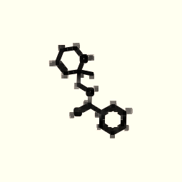 CC1(COC(=O)c2ccccc2)C=CCCO1